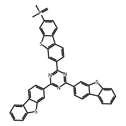 C=P(C)(C)c1ccc2c(c1)sc1cc(-c3nc(-c4ccc5c(c4)sc4ccccc45)nc(-c4ccc5c(c4)sc4ccccc45)n3)ccc12